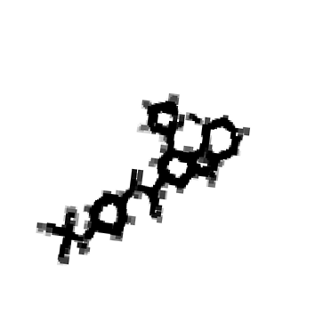 C[C@@H]1COCc2nc3cc(C(=O)Nc4ccc(OC(F)(F)Cl)cc4)cc(-c4ncco4)c3n21